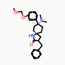 COCOc1cccc([C@]2(N(C)C)CC[C@@]3(CC2)CC(Cc2ccccc2)C(=O)N3)c1